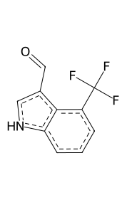 O=Cc1c[nH]c2cccc(C(F)(F)F)c12